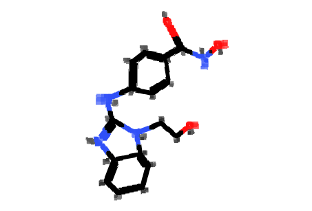 O=C(NO)c1ccc(Nc2nc3ccccc3n2CCO)cc1